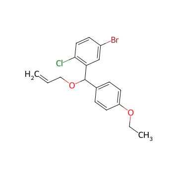 C=CCOC(c1ccc(OCC)cc1)c1cc(Br)ccc1Cl